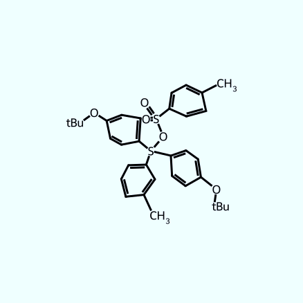 Cc1ccc(S(=O)(=O)OS(c2ccc(OC(C)(C)C)cc2)(c2ccc(OC(C)(C)C)cc2)c2cccc(C)c2)cc1